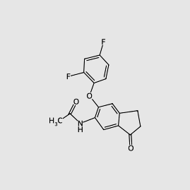 CC(=O)Nc1cc2c(cc1Oc1ccc(F)cc1F)CCC2=O